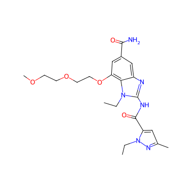 CCn1nc(C)cc1C(=O)Nc1nc2cc(C(N)=O)cc(OCCOCCOC)c2n1CC